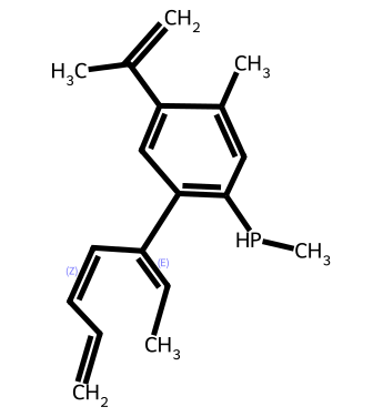 C=C/C=C\C(=C/C)c1cc(C(=C)C)c(C)cc1PC